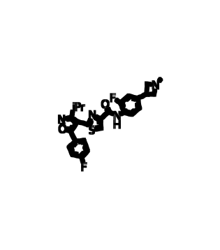 CC(C)c1noc(-c2ccc(F)cc2)c1-c1nc(C(=O)Nc2ccc(C3CN(C)C3)cc2F)cs1